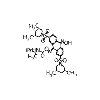 CC(C)C(C)NC(=O)ON=C1c2cc(S(=O)(=O)N3C[C@H](C)C[C@H](C)C3)ccc2C(=NO)c2ccc(S(=O)(=O)N3C[C@H](C)C[C@H](C)C3)cc21